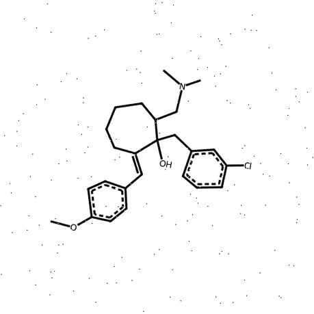 COc1ccc(C=C2CCCCC(CN(C)C)C2(O)Cc2cccc(Cl)c2)cc1